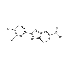 O=[N+]([O-])c1cnc2[nH]c(-c3ccc(Cl)c(Cl)c3)nc2c1